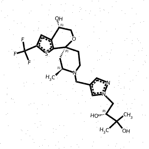 C[C@H]1C[C@@]2(CCN1Cc1cnn(C[C@@H](O)C(C)(C)O)c1)OC[C@@H](O)c1cc(C(F)(F)F)sc12